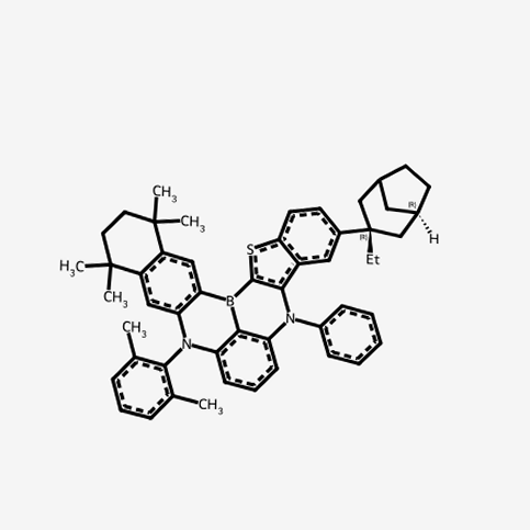 CC[C@@]1(c2ccc3sc4c(c3c2)N(c2ccccc2)c2cccc3c2B4c2cc4c(cc2N3c2c(C)cccc2C)C(C)(C)CCC4(C)C)CC2CC[C@H](C2)C1